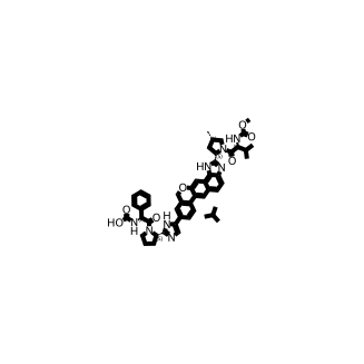 COC(=O)N[C@H](C(=O)N1C[C@@H](C)C[C@H]1c1nc2ccc3cc4c(cc3c2[nH]1)OCc1cc(-c2cnc([C@@H]3CCCN3C(=O)[C@H](NC(=O)O)c3ccccc3)[nH]2)ccc1-4)C(C)C.C[C](C)C